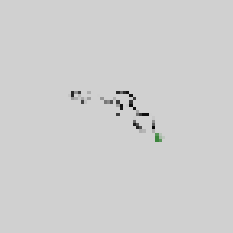 Cc1c(CCC(=O)O)cccc1-c1ccc(Br)cc1